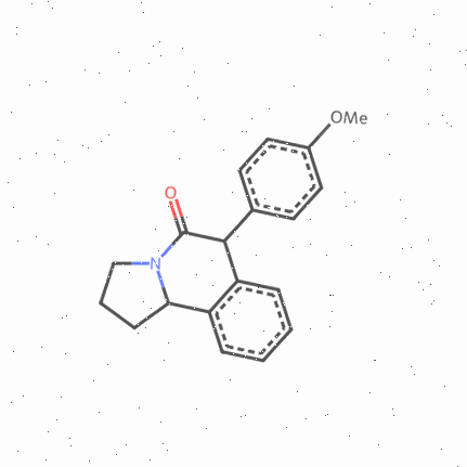 COc1ccc(C2C(=O)N3CCCC3c3ccccc32)cc1